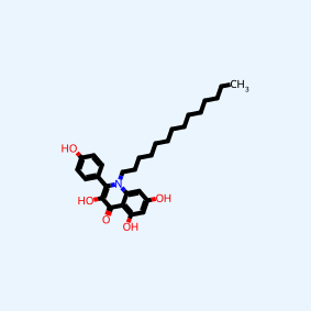 CCCCCCCCCCCCCCn1c(-c2ccc(O)cc2)c(O)c(=O)c2c(O)cc(O)cc21